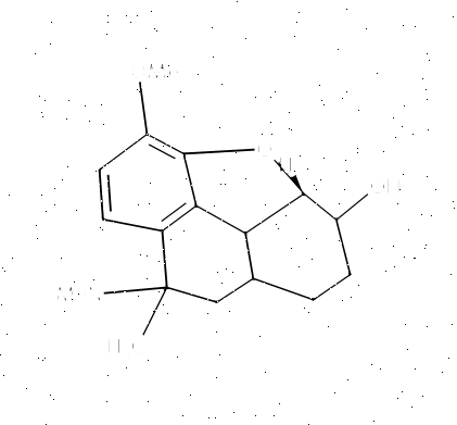 CNC1(C)CC2CCC(O)[C@H]3Oc4c(OC)ccc1c4C23